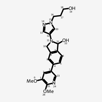 COc1cc(-c2ccc3c(c2)CN(c2cnn(CCCO)c2)C3O)cnc1OC